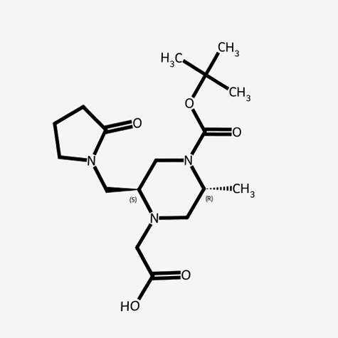 C[C@@H]1CN(CC(=O)O)[C@@H](CN2CCCC2=O)CN1C(=O)OC(C)(C)C